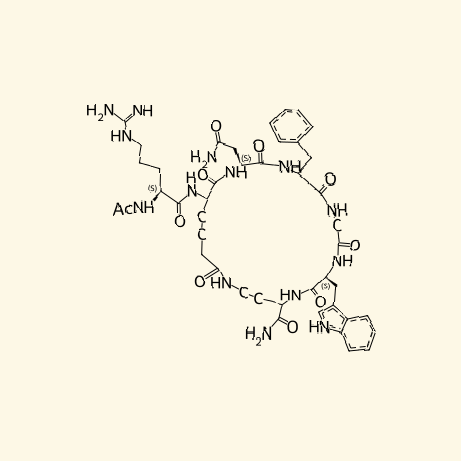 CC(=O)N[C@@H](CCCNC(=N)N)C(=O)NC1CCCC(=O)NCCC(C(N)=O)NC(=O)[C@H](Cc2c[nH]c3ccccc23)NC(=O)CNC(=O)C(Cc2ccccc2)NC(=O)[C@H](CC(N)=O)NC1=O